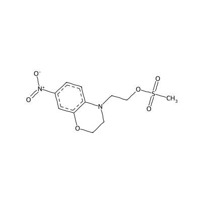 CS(=O)(=O)OCCN1CCOc2cc([N+](=O)[O-])ccc21